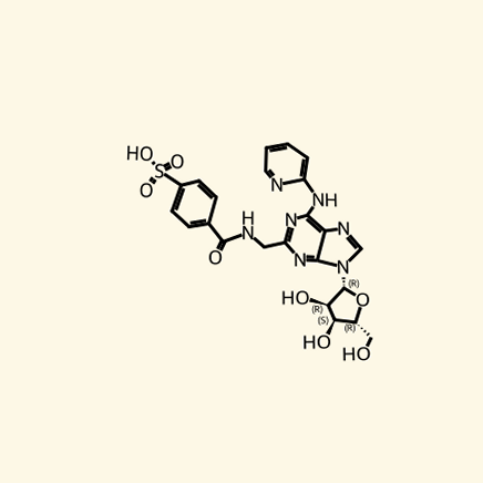 O=C(NCc1nc(Nc2ccccn2)c2ncn([C@@H]3O[C@H](CO)[C@@H](O)[C@H]3O)c2n1)c1ccc(S(=O)(=O)O)cc1